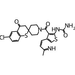 CC(=N)/C=C\c1csc(NC(N)=O)c1C(=O)N1CCC2(CC1)CC(=O)c1cc(Cl)ccc1S2